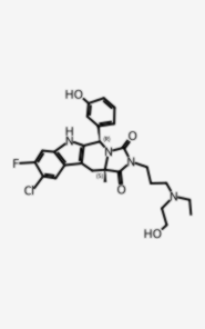 CCN(CCO)CCCN1C(=O)N2[C@H](c3cccc(O)c3)c3[nH]c4cc(F)c(Cl)cc4c3C[C@@]2(C)C1=O